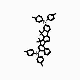 Cc1ccc(N(c2ccc(C)cc2)c2ccc3c(c2)C(C)(C)c2c-3ccc3c2C(C)(C)c2cc(N(c4ccc(C)cc4)c4ccc(C)cc4)c4ccccc4c2-3)cc1